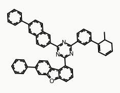 CC1CC=CC=C1c1cccc(-c2nc(-c3ccc4cc(-c5ccccc5)ccc4c3)nc(-c3cccc4oc5cc(-c6ccccc6)ccc5c34)n2)c1